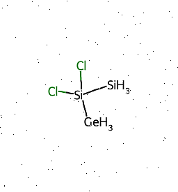 [SiH3][Si](Cl)(Cl)[GeH3]